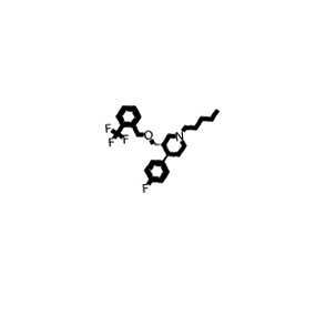 CCCCCN1CC[C@@H](c2ccc(F)cc2)[C@H](COCc2ccccc2C(F)(F)F)C1